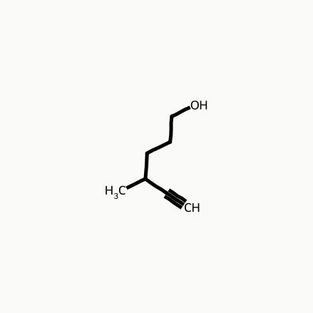 C#CC(C)CCCO